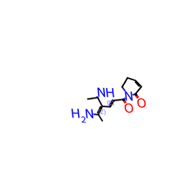 CC(=N)C(/C=C/C(=O)N1CCC=CC1=O)=C(/C)N